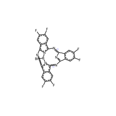 Fc1cc2c(cc1F)/C1=N/c3c4cc(F)c(F)cc4c4n3B(Br)n3c(c5cc(F)c(F)cc5/c3=N/C2=N1)=N4